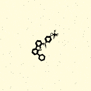 FC(F)(F)Oc1ccc(N(I)c2cccc3c2sc2c(C4CCCCC4)cccc23)cc1